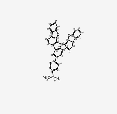 CC(C)c1ccc(-c2cc3c4ccc5c6ccccc6oc5c4n4c3c(c2)c2ccc3c5ccccc5oc3c24)cc1